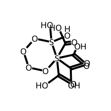 O=C(O)S1(C(=O)O)(C(=O)O)(C(=O)O)OOOOS1(O)O